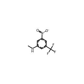 CNc1cc([N+](=O)[O-])cc(C(F)(F)F)c1